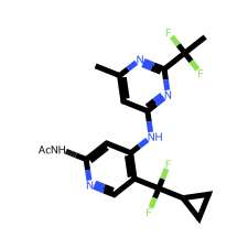 CC(=O)Nc1cc(Nc2cc(C)nc(C(C)(F)F)n2)c(C(F)(F)C2CC2)cn1